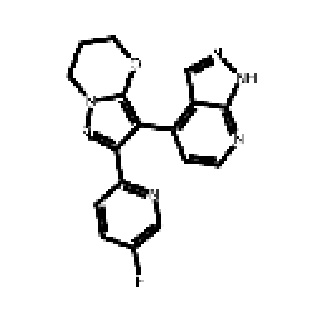 Fc1ccc(-c2nn3c(c2-c2ccnc4[nH]ncc24)OCCC3)nc1